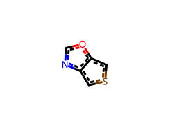 c1nc2cscc2o1